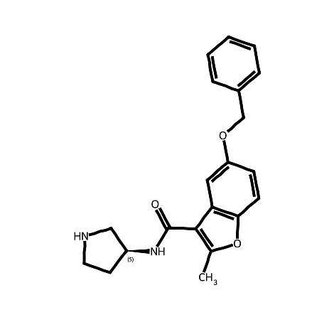 Cc1oc2ccc(OCc3ccccc3)cc2c1C(=O)N[C@H]1CCNC1